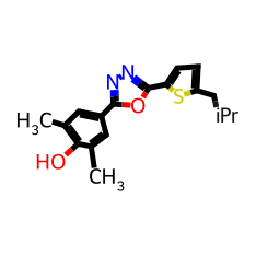 Cc1cc(-c2nnc(-c3ccc(CC(C)C)s3)o2)cc(C)c1O